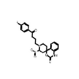 O=C1Nc2ccccc2C2(CCN(CCCC(=O)c3ccc(F)cc3)C([N+](=O)[O-])C2)O1